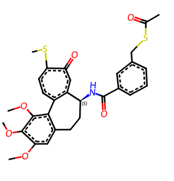 COc1cc2c(c(OC)c1OC)-c1ccc(SC)c(=O)cc1[C@@H](NC(=O)c1cccc(CSC(C)=O)c1)CC2